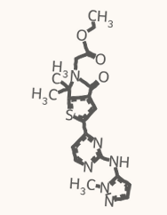 CCOC(=O)CN1C(=O)c2cc(-c3ccnc(Nc4ccnn4C)n3)sc2C1(C)C